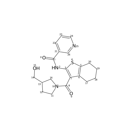 O=C(Nc1sc2c(c1C(=O)N1CCC(CO)C1)CCCC2)c1cccnc1